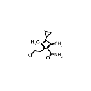 Cc1c(CCCl)c(C(N)=O)c(C)n1C1CC1